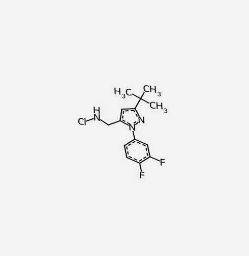 CC(C)(C)c1cc(CNCl)n(-c2ccc(F)c(F)c2)n1